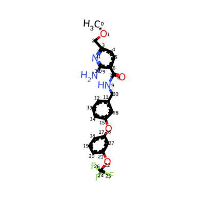 COCc1ccc(C(=O)NCc2cccc(Oc3cccc(OC(F)(F)F)c3)c2)c(N)n1